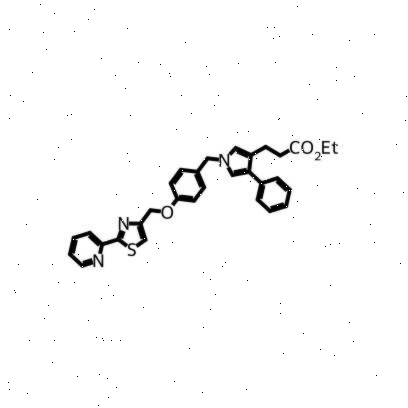 CCOC(=O)CCc1cn(Cc2ccc(OCc3csc(-c4ccccn4)n3)cc2)cc1-c1ccccc1